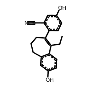 CCC1=C(c2ccc(O)cc2C#N)CCCc2cc(O)ccc21